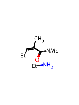 CCC=C(C)C(=O)NC.CCN